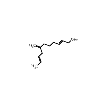 C=C(CC=CC)CCCC=CCOC(C)=O